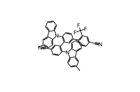 Cc1ccc2c(c1)c1ccccc1n2-c1ccc(C#N)cc1-c1cc(-c2ccc(C#N)cc2C(F)(F)F)ccc1-n1c2ccccc2c2cc(C)ccc21